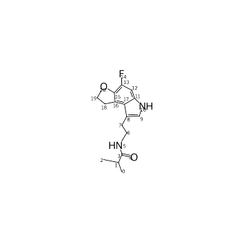 CC(C)C(=O)NCCc1c[nH]c2cc(F)c3c(c12)CCO3